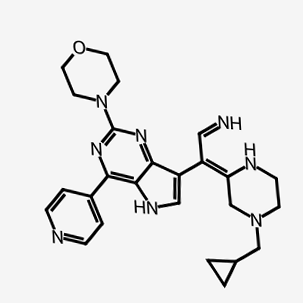 N=C/C(=C1/CN(CC2CC2)CCN1)c1c[nH]c2c(-c3ccncc3)nc(N3CCOCC3)nc12